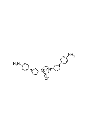 Nc1ccc(N2CCC([N+]34CC[N+](C5CCN(c6ccc(N)cc6)C5)(CC3)CC4)C2)cc1.[Cl-].[Cl-]